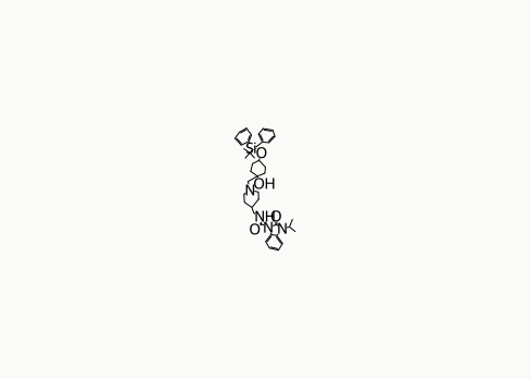 CC(C)n1c(=O)n(C(=O)NCC2CCN(C[C@]3(O)CC[C@@H](O[Si](c4ccccc4)(c4ccccc4)C(C)(C)C)CC3)CC2)c2ccccc21